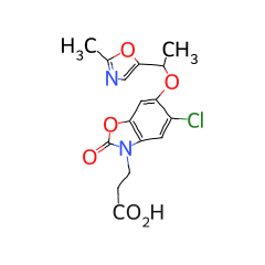 Cc1ncc(C(C)Oc2cc3oc(=O)n(CCC(=O)O)c3cc2Cl)o1